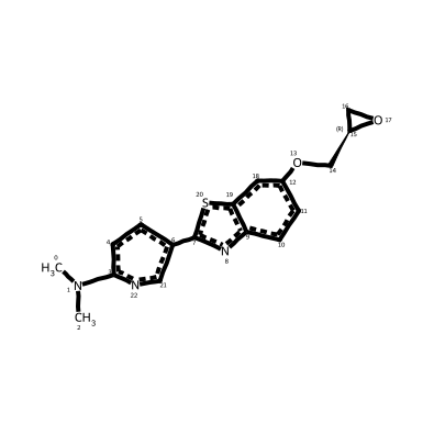 CN(C)c1ccc(-c2nc3ccc(OC[C@H]4CO4)cc3s2)cn1